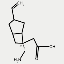 C=CC1CC2C[C@](CN)(CC(=O)O)C2C1